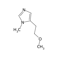 COCCc1cncn1C